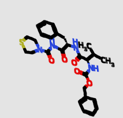 CC(C)[C@H](NC(=O)OCc1ccccc1)C(=O)N[C@@H](Cc1ccccc1)C(=O)NC(=O)N1CCSCC1